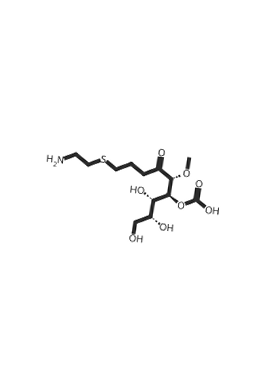 CO[C@@H](C(=O)CCCSCCN)[C@@H](OC(=O)O)[C@@H](O)[C@H](O)CO